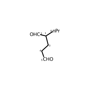 CCCC(C=O)CCC=O